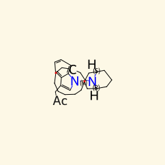 CC(=O)Cc1cn([C@H]2C[C@H]3CCC[C@@H](C2)N3C2CCCCCCCCC2)c2ccccc12